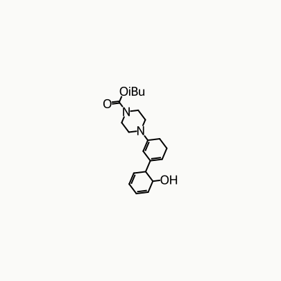 CC(C)COC(=O)N1CCN(C2=CC(C3C=CC=CC3O)=CCC2)CC1